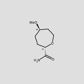 CO[C@@H]1C[CH][C@@H](C(N)=O)OCC1